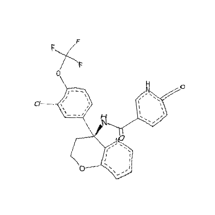 O=C(N[C@]1(c2ccc(OC(F)(F)F)c(Cl)c2)CCOc2cccnc21)c1ccc(=O)[nH]c1